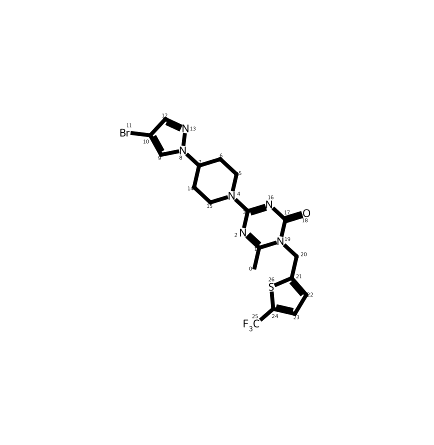 Cc1nc(N2CCC(n3cc(Br)cn3)CC2)nc(=O)n1Cc1ccc(C(F)(F)F)s1